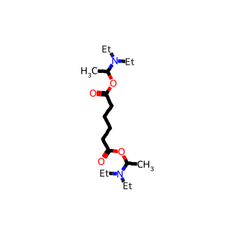 CCN(CC)C(C)OC(=O)CCCCC(=O)OC(C)N(CC)CC